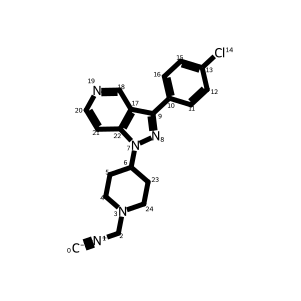 [C-]#[N+]CN1CCC(n2nc(-c3ccc(Cl)cc3)c3cnccc32)CC1